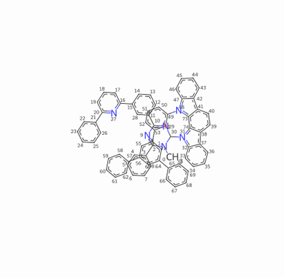 CN1C(c2ccccc2)=NC(c2cccc(-c3cccc(-c4ccccc4)n3)c2)=NC1n1c2ccccc2c2ccc3c4ccccc4n(-c4cccc(-c5cc(-c6ccccc6)cc(-c6ccccc6)c5)c4)c3c21